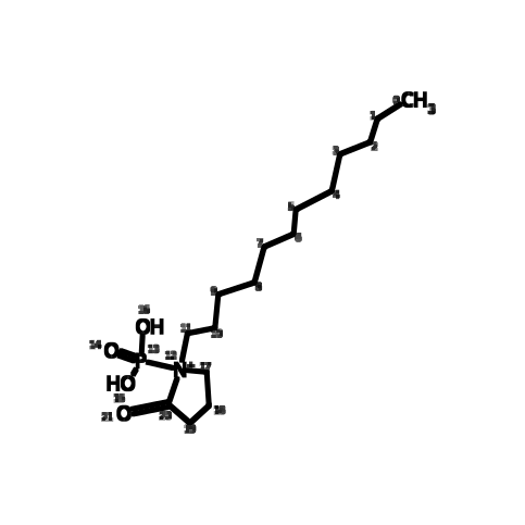 CCCCCCCCCCCC[N+]1(P(=O)(O)O)CCCC1=O